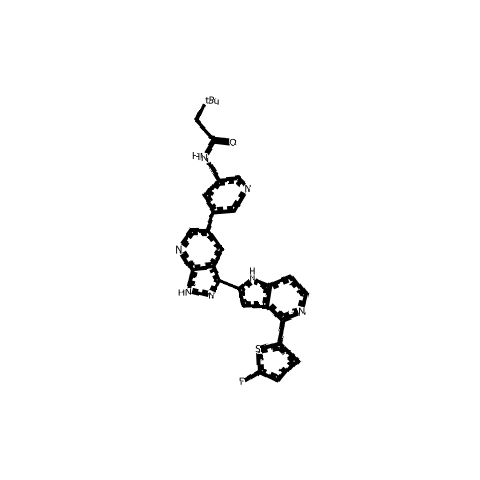 CC(C)(C)CC(=O)Nc1cncc(-c2cnc3[nH]nc(-c4cc5c(-c6ccc(F)s6)nccc5[nH]4)c3c2)c1